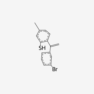 C=C(c1cccc(Br)c1)c1ccc(C)cc1S